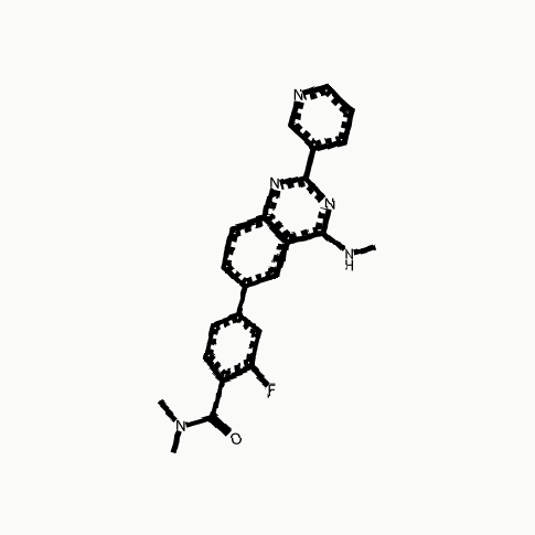 CNc1nc(-c2cccnc2)nc2ccc(-c3ccc(C(=O)N(C)C)c(F)c3)cc12